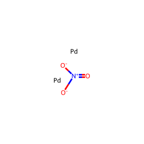 O=[N+]([O-])[O-].[Pd].[Pd]